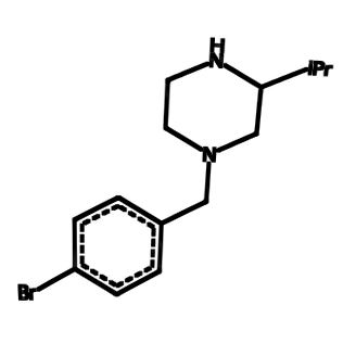 CC(C)C1CN(Cc2ccc(Br)cc2)CCN1